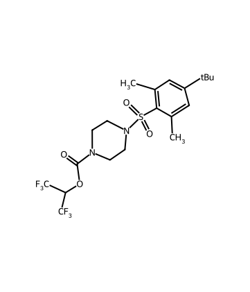 Cc1cc(C(C)(C)C)cc(C)c1S(=O)(=O)N1CCN(C(=O)OC(C(F)(F)F)C(F)(F)F)CC1